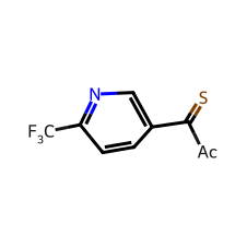 CC(=O)C(=S)c1ccc(C(F)(F)F)nc1